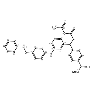 COC(=O)c1ccc(C(CC(=O)OC(=O)C(F)(F)F)c2ccnc(Oc3ccc(CNc4ccccn4)cc3)n2)cc1